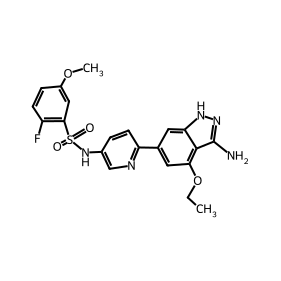 CCOc1cc(-c2ccc(NS(=O)(=O)c3cc(OC)ccc3F)cn2)cc2[nH]nc(N)c12